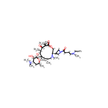 CO[C@]1(C)C[C@@H](C)CN(C)[C@H](C2CN(C(=O)CCCN(C)CC(C)C)C2)COC(=O)C(C)(C)C(=O)[C@H](C)[C@H]1O[C@@H]1O[C@H](C)C[C@H](N(C)C)[C@H]1O